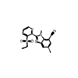 CCS(=O)(=O)c1cccnc1-c1nc2cc(C)cc(C#N)c2n1C